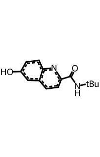 CC(C)(C)NC(=O)c1ccc2cc(O)ccc2n1